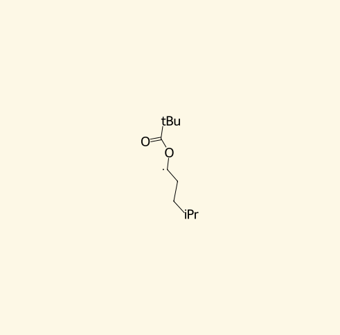 CC(C)CC[CH]OC(=O)C(C)(C)C